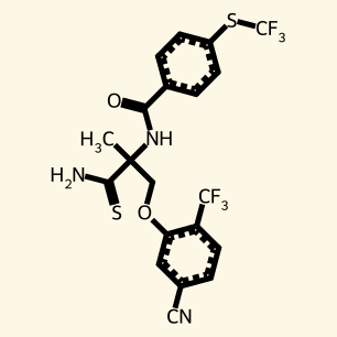 CC(COc1cc(C#N)ccc1C(F)(F)F)(NC(=O)c1ccc(SC(F)(F)F)cc1)C(N)=S